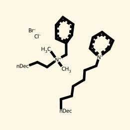 CCCCCCCCCCCCCCCC[n+]1ccccc1.CCCCCCCCCCCC[N+](C)(C)Cc1ccccc1.[Br-].[Cl-]